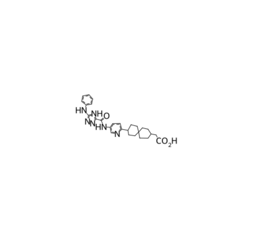 O=C(O)CC1CCC2(CC1)CCC(c1ccc(NC(=O)c3nnc(Nc4ccccc4)[nH]3)cn1)CC2